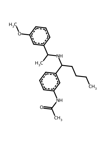 CCCCC(NC(C)c1cccc(OC)c1)c1cccc(NC(C)=O)c1